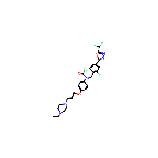 CCN1CCN(CCCOc2ccc(N(Cc3ccc(-c4nnc(C(F)F)o4)cc3F)C(=O)Cl)cc2)CC1